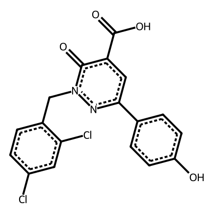 O=C(O)c1cc(-c2ccc(O)cc2)nn(Cc2ccc(Cl)cc2Cl)c1=O